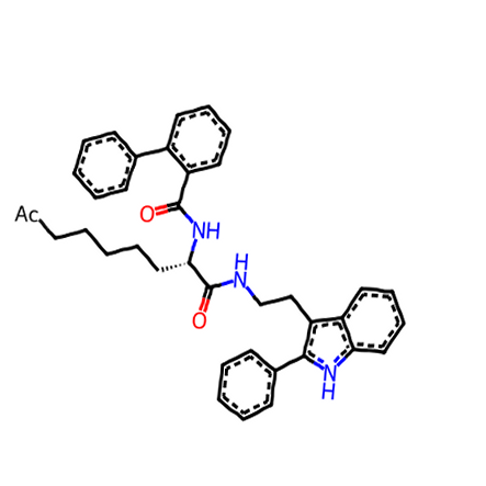 CC(=O)CCCCC[C@H](NC(=O)c1ccccc1-c1ccccc1)C(=O)NCCc1c(-c2ccccc2)[nH]c2ccccc12